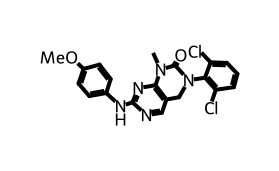 COc1ccc(Nc2ncc3c(n2)N(C)C(=O)N(c2c(Cl)cccc2Cl)C3)cc1